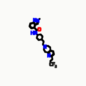 Cn1cc2c(C(=O)NC3CCC(CCN4CCc5ccc(CCC(F)(F)F)nc5CC4)CC3)cccc2n1